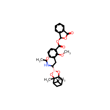 COc1c(CC(NC(C)=O)B2OC3CC4CC(C4(C)C)C3(C)O2)cccc1C(=O)OC1OC(=O)c2ccccc21